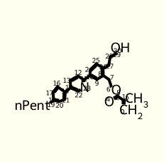 C=C(C)C(=O)OCCc1cc(-c2ccc(-c3ccc(CCCCC)cc3)cn2)ccc1CCCO